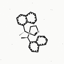 C[C@H](c1cccc2ccccc12)[N+]1([C@H](C)c2cccc3ccccc23)C=NCC1